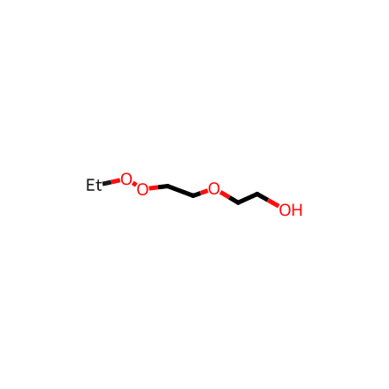 CCOOCCOCCO